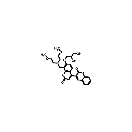 COCCN(CCOC)Cc1c(OCC(O)CO)ccc2c(-c3cc4ccccc4oc3=O)cc(=O)oc12